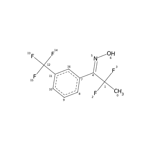 CC(F)(F)C(=NO)c1cccc(C(F)(F)F)c1